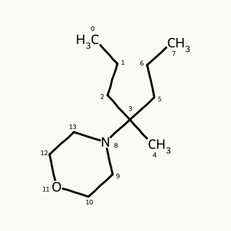 CCCC(C)(CCC)N1CCOCC1